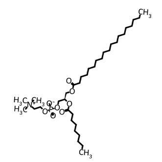 CCCCCCCCCCCCCCCCCCC(=O)OC[C@H](COP(=O)([O-])OCC[N+](C)(C)C)OC(=O)CCCCCCCC